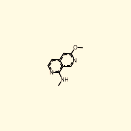 CNc1nccc2cc(OC)ncc12